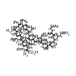 CCC(C)[C@H](NC(=O)[C@H](CC(C)C)NC(=O)[C@@H](NC(=O)[C@H](CCCCN)NC(=O)[C@@H](N)CCSC)C(C)C)C(=O)N[C@@H](CC(C)C)C(=O)N[C@@H](C)C(=O)N[C@H](CS)C(=O)N[C@@H](CC(C)C)C(=O)N[C@H](C(=O)N[C@@H](C)C(=O)N[C@@H](CC(C)C)C(=O)N[C@@H](C)C(=O)N[C@@H](CC(C)C)C(=O)N[C@@H](C)C(=O)O)C(C)C